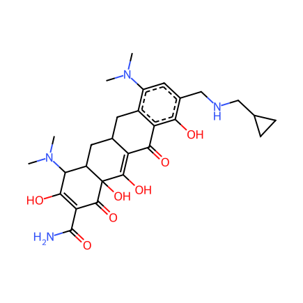 CN(C)c1cc(CNCC2CC2)c(O)c2c1CC1CC3C(N(C)C)C(O)=C(C(N)=O)C(=O)C3(O)C(O)=C1C2=O